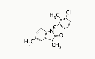 Cc1ccc2c(c1)C(C)C(=O)N2Cc1cccc(Cl)c1C